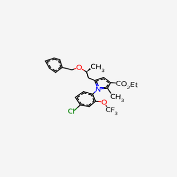 CCOC(=O)c1cc(C[C@H](C)OCc2ccccc2)n(-c2ccc(Cl)cc2OC(F)(F)F)c1C